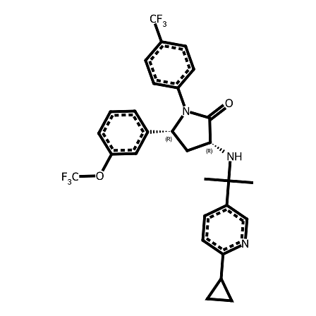 CC(C)(N[C@@H]1C[C@H](c2cccc(OC(F)(F)F)c2)N(c2ccc(C(F)(F)F)cc2)C1=O)c1ccc(C2CC2)nc1